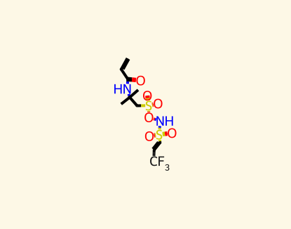 C=CC(=O)NC(C)(C)CS(=O)(=O)ONS(=O)(=O)C=CC(F)(F)F